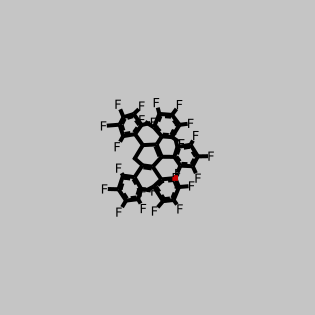 Fc1c(F)c(F)c(C2=C(c3c(F)c(F)c(F)c(F)c3F)C(c3c(F)c(F)c(F)c(F)c3F)=C(c3c(F)c(F)c(F)c(F)c3F)C(c3c(F)c(F)c(F)c(F)c3F)C2)c(F)c1F